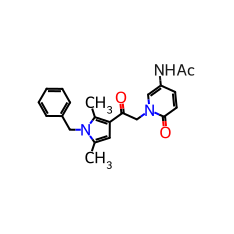 CC(=O)Nc1ccc(=O)n(CC(=O)c2cc(C)n(Cc3ccccc3)c2C)c1